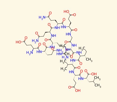 CC[C@H](C)[C@H](NC(=O)[C@@H](NC(=O)CNC(=O)[C@H](CCC(=O)O)NC(=O)[C@H](CCC(N)=O)NC(=O)[C@H](CCC(N)=O)NC(=O)[C@H](CCCNC(=N)N)NC(=O)[C@H](CCC(N)=O)NC(=O)[C@@H](N)CCC(=O)O)C(C)C)C(=O)N[C@H](C(=O)N[C@@H](CCC(=O)O)C(=O)N[C@@H](CC(C)C)C(=O)O)C(C)C